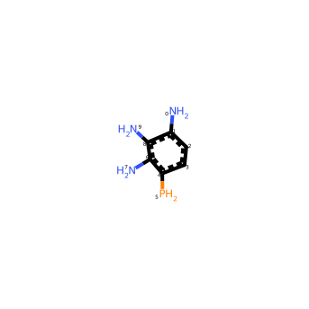 Nc1ccc(P)c(N)c1N